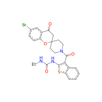 CCNC(=O)Nc1sc2ccccc2c1C(=O)N1CCC2(CC1)CC(=O)c1cc(Br)ccc1O2